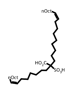 CCCCCCCC/C=C\CCCCCCCCC(CCCCCC/C=C\CCCCCCCC)(C(=O)O)S(=O)(=O)O